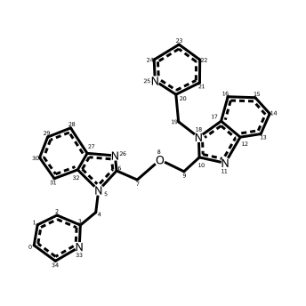 c1ccc(Cn2c(COCc3nc4ccccc4n3Cc3ccccn3)nc3ccccc32)nc1